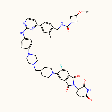 Cc1cc(-c2ccnc(Nc3ccc(N4CCN(CC5CCN(c6cc7c(cc6F)C(=O)N(C6CCC(=O)NC6=O)C7=O)CC5)CC4)cc3)n2)ccc1CNC(=O)N1CC(OC(C)C)C1